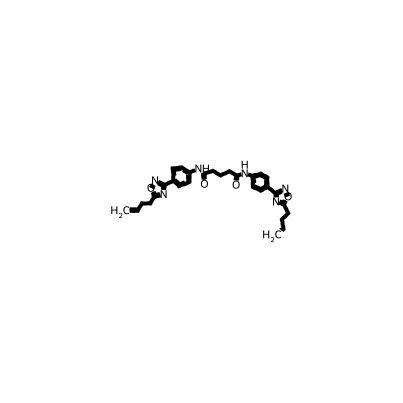 C=CCCc1nc(-c2ccc(NC(=O)CCCC(=O)Nc3ccc(-c4noc(CCC=C)n4)cc3)cc2)no1